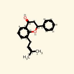 CC(C)=CCc1cccc2c1OC(c1ccccc1)CC2=O